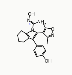 Cc1noc(C)c1-c1c(-c2ccc(O)cc2)c2c(n1/C(N)=N/O)CCCC2